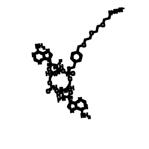 [N-]=[N+]=NCCOCCOCCOCc1ccc(CS[P@]2(=O)OC[C@H]3O[C@@H](n4cnc5c(N)ncnc54)[C@H](F)[C@@H]3O[PH](=O)OC[C@H]3O[C@@H](n4cnc5c(N)ncnc54)[C@H](F)[C@@H]3O2)cc1